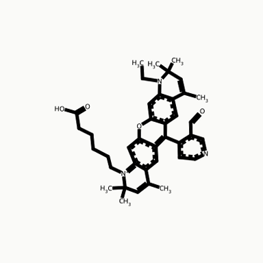 CCN1c2cc3c(cc2C(C)=CC1(C)C)C(c1ccncc1C=O)=c1cc2c(cc1O3)=[N+](CCCCCC(=O)O)C(C)(C)C=C2C